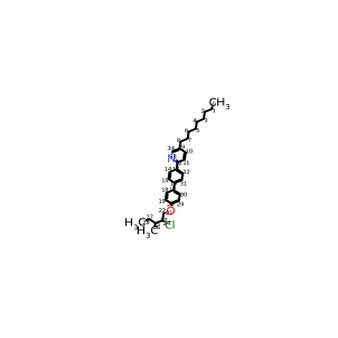 CCCCCCCCCc1ccc(-c2ccc(-c3ccc(OCC(Cl)C(C)CC)cc3)cc2)nc1